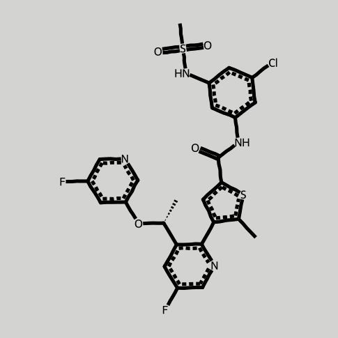 Cc1sc(C(=O)Nc2cc(Cl)cc(NS(C)(=O)=O)c2)cc1-c1ncc(F)cc1[C@@H](C)Oc1cncc(F)c1